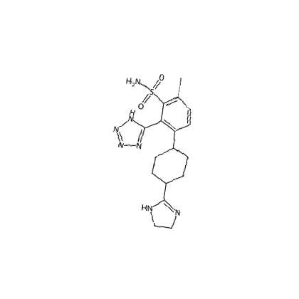 Cc1ccc(C2CCC(C3=NCCN3)CC2)c(-c2nnn[nH]2)c1S(N)(=O)=O